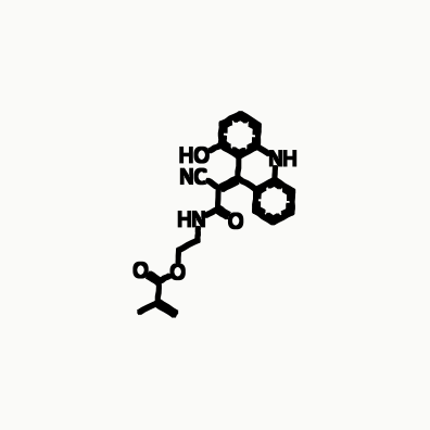 C=C(C)C(=O)OCCNC(=O)/C(C#N)=C1\c2ccccc2Nc2cccc(O)c21